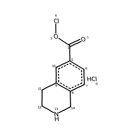 Cl.O=C(OCl)c1ccc2c(c1)CCNC2